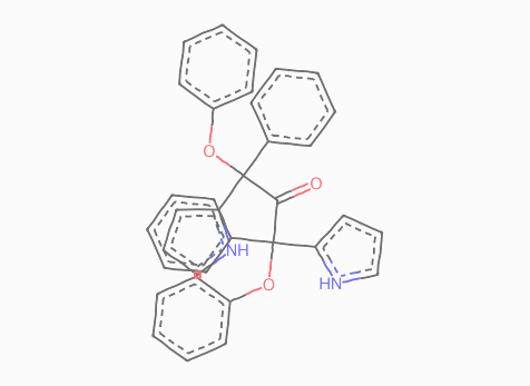 O=C(C(Oc1ccccc1)(c1ccccc1)c1ccc[nH]1)C(Oc1ccccc1)(c1ccccc1)c1ccc[nH]1